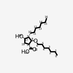 CCCCCCCO[C@@H]1[C@@H](CCCCCCC)[C@@H](O)C[C@H]1C(=O)O